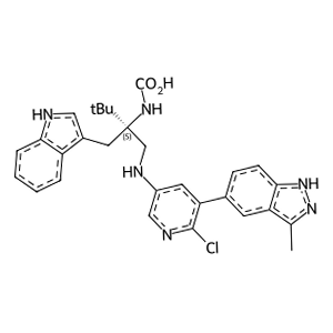 Cc1n[nH]c2ccc(-c3cc(NC[C@@](Cc4c[nH]c5ccccc45)(NC(=O)O)C(C)(C)C)cnc3Cl)cc12